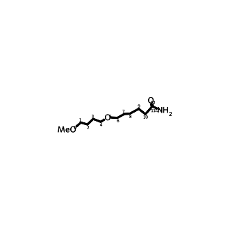 COCCCCOCCCCCC(N)=O